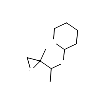 CC(OC1CCCCO1)C1(C)CO1